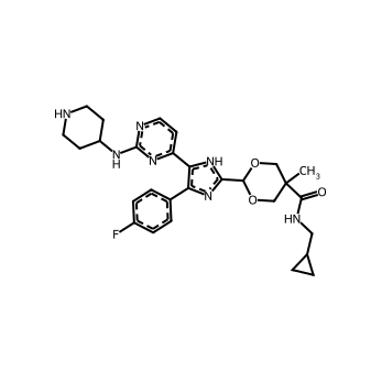 CC1(C(=O)NCC2CC2)COC(c2nc(-c3ccc(F)cc3)c(-c3ccnc(NC4CCNCC4)n3)[nH]2)OC1